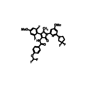 COc1cc(N2CCC(F)(F)C2)nc(-n2c(=O)c(NC(=O)c3ccc(OC(F)F)cc3)c(-c3c(F)cc(OC)cc3F)n2C)c1